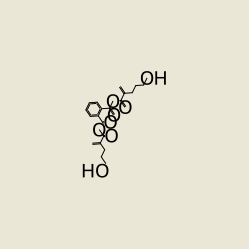 C=C(CCCO)C(=O)OC(=O)c1ccccc1C(=O)OC(=O)C(=C)CCCO